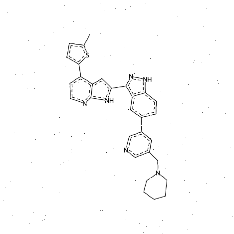 Cc1ccc(-c2ccnc3[nH]c(-c4n[nH]c5ccc(-c6cncc(CN7CCCCC7)c6)cc45)cc23)s1